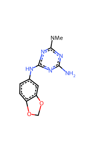 CNc1nc(N)nc(Nc2ccc3c(c2)OCO3)n1